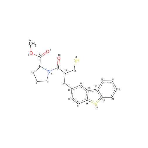 COC(=O)[C@H]1CCCN1C(=O)C(CS)Cc1ccc2sc3ccccc3c2c1